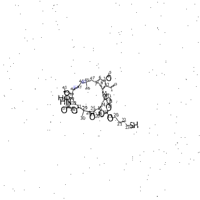 C=Cc1c(OC)cc2cc1N(C)C(=O)CC(OC(=O)OCCCCS)C1(C)OC1C(C)C1CC(O)(NC(=O)O1)C(OC)/C=C/C=C(\C)C2